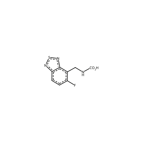 O=C(O)NCc1c(F)ccc2nsnc12